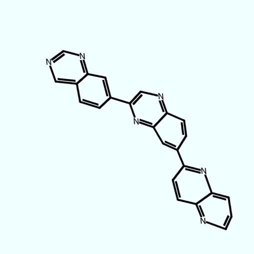 c1cnc2ccc(-c3ccc4ncc(-c5ccc6cncnc6c5)nc4c3)nc2c1